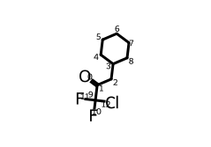 O=C(CC1CCCCC1)C(F)(F)Cl